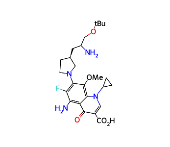 COc1c(N2CC[C@@H](CC(N)COC(C)(C)C)C2)c(F)c(N)c2c(=O)c(C(=O)O)cn(C3CC3)c12